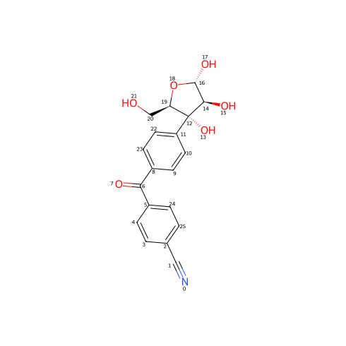 N#Cc1ccc(C(=O)c2ccc([C@]3(O)[C@H](O)[C@@H](O)O[C@@H]3CO)cc2)cc1